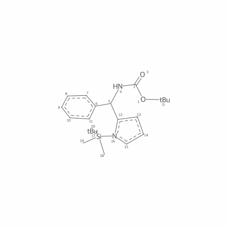 CC(C)(C)OC(=O)NC(c1ccccc1)c1cccn1[Si](C)(C)C(C)(C)C